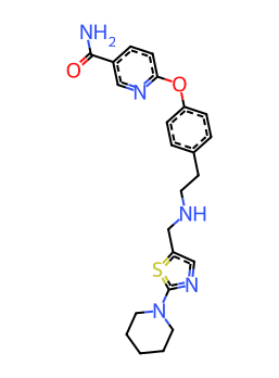 NC(=O)c1ccc(Oc2ccc(CCNCc3cnc(N4CCCCC4)s3)cc2)nc1